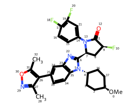 CO[C@H]1CC[C@H](n2c([C@@H]3C[C@H](F)C(=O)N3c3ccc(F)c(F)c3)nc3cc(-c4c(C)noc4C)ccc32)CC1